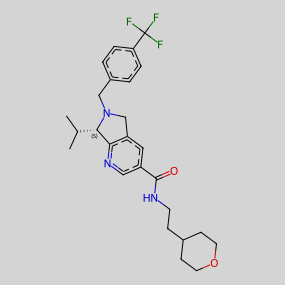 CC(C)[C@H]1c2ncc(C(=O)NCCC3CCOCC3)cc2CN1Cc1ccc(C(F)(F)F)cc1